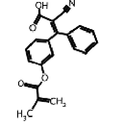 C=C(C)C(=O)Oc1cccc(C(=C(C#N)C(=O)O)c2ccccc2)c1